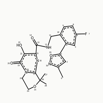 Cc1cc(-c2cc(F)ccc2CNC(=O)c2nc3n(c(=O)c2O)CCOC3(C)C)on1